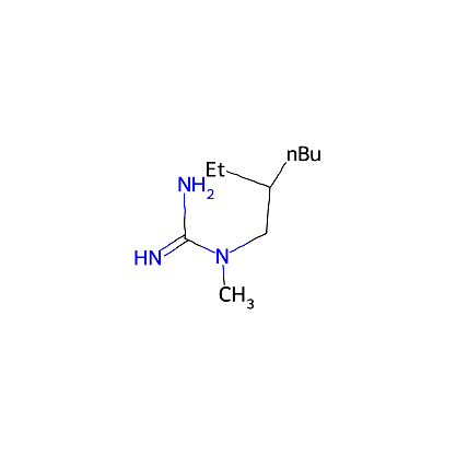 CCCCC(CC)CN(C)C(=N)N